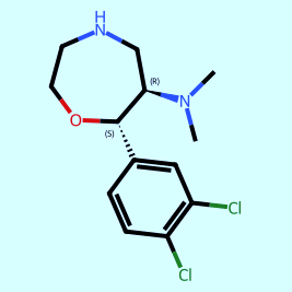 CN(C)[C@@H]1CNCCO[C@H]1c1ccc(Cl)c(Cl)c1